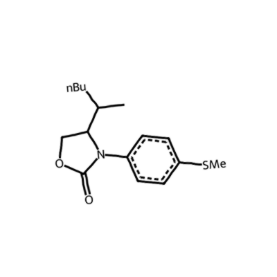 CCCCC(C)C1COC(=O)N1c1ccc(SC)cc1